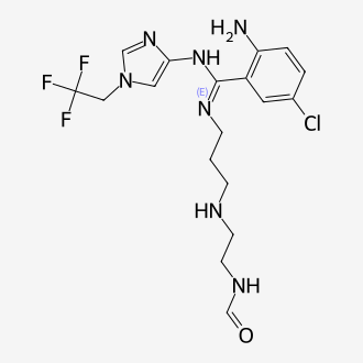 Nc1ccc(Cl)cc1/C(=N\CCCNCCNC=O)Nc1cn(CC(F)(F)F)cn1